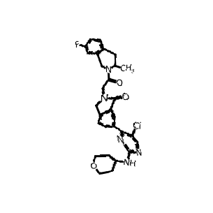 CC1Cc2ccc(F)cc2CN1C(=O)CN1Cc2ccc(-c3nc(NC4CCOCC4)ncc3Cl)cc2C1=O